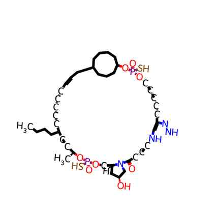 CCCCC1CCCCC/C=C\CC2CCCCC(CCC2)OP(=O)(S)OCCCCC/C(N=N)=C/NCCCC(=O)N2C[C@@H](O)C[C@H]2COP(=O)(S)O[C@@H](C)CC1